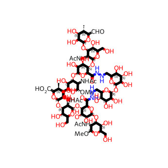 CO[C@@H]1OC(CO)[C@@H](O)[C@H](O[C@@H]2OC(C(=O)NNCC3O[C@H](O[C@H]4OC(CNNC(=O)C5O[C@@H](O[C@@H]6C(NC(C)=O)[C@H](OC)OC(CO)[C@H]6O)C(O)[C@@H](O)[C@@H]5O[C@@H]5OC(CO)[C@@H](O)[C@H](O[C@@H]6OC(C(=O)O)[C@@H](C)[C@H](O)C6O)C5NC(C)=O)[C@@H](O)[C@H](O)C4O)C(O)[C@@H](O)[C@@H]3O)[C@@H](O[C@@H]3OC(CO)[C@@H](O)[C@H](O[C@@H]4OC(C=O)[C@@H](C)[C@H](O)C4O)C3NC(C)=O)[C@H](O)C2O)C1NC(C)=O